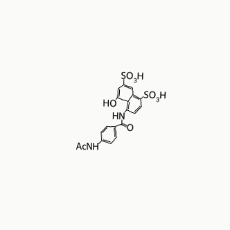 CC(=O)Nc1ccc(C(=O)Nc2ccc(S(=O)(=O)O)c3cc(S(=O)(=O)O)cc(O)c23)cc1